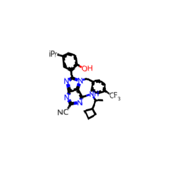 CC(C)c1ccc(O)c(-c2nc3nc(C#N)nc(NC(C)C4CCC4)c3n2Cc2ccc(C(F)(F)F)cc2)c1